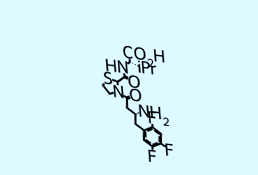 CC(C)[C@H](NC(=O)C1SCCN1C(=O)C[C@H](N)Cc1cc(F)c(F)cc1F)C(=O)O